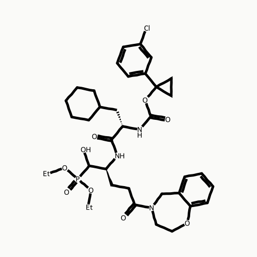 CCOP(=O)(OCC)C(O)[C@H](CCC(=O)N1CCOc2ccccc2C1)NC(=O)[C@H](CC1CCCCC1)NC(=O)OC1(c2cccc(Cl)c2)CC1